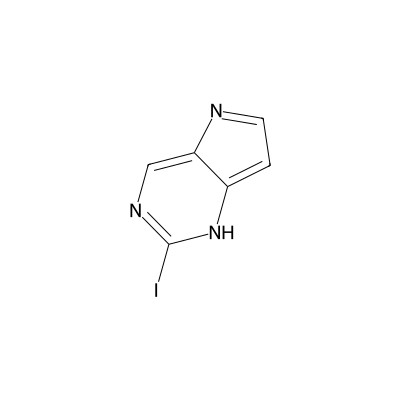 Ic1ncc2nccc-2[nH]1